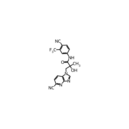 CC(O)(Cn1cnc2nc(C#N)ccc21)C(=O)Nc1ccc(C#N)c(C(F)(F)F)c1